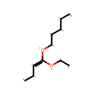 CC/C=C(\OCC)OCCCCC